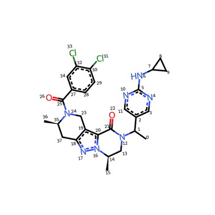 CC(c1cnc(NC2CC2)nc1)N1C[C@@H](C)n2nc3c(c2C1=O)CN(C(=O)c1ccc(Cl)c(Cl)c1)[C@H](C)C3